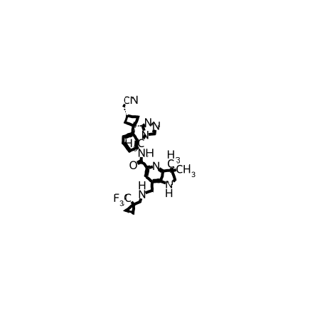 Cn1cnnc1[C@]1(c2cccc(NC(=O)c3cc(CNCC4(C(F)(F)F)CC4)c4c(n3)C(C)(C)CN4)c2)C[C@H](CC#N)C1